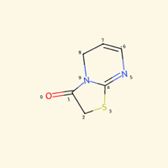 O=C1CSC2=N[C]=CCN12